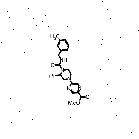 COC(=O)c1cnc(N2CCN(C(=O)NCc3cccc(C)c3)C(C(C)C)C2)cn1